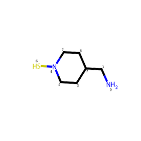 NCC1CCN(S)CC1